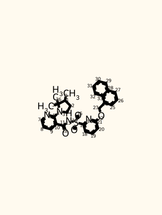 CC1CCN(c2ncccc2C(=O)NS(=O)(=O)c2cccc(OCc3cccc4ccccc34)n2)C1(C)C